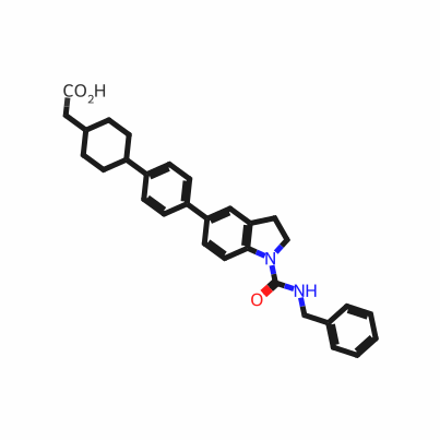 O=C(O)CC1CCC(c2ccc(-c3ccc4c(c3)CCN4C(=O)NCc3ccccc3)cc2)CC1